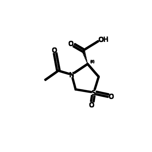 CC(=O)N1CS(=O)(=O)C[C@H]1C(=O)O